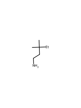 CCC(C)(C)CCN